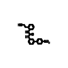 O=C(Nc1cccc(-c2ccc([N+](=O)[O-])cc2)c1)Nc1ccccc1CCO